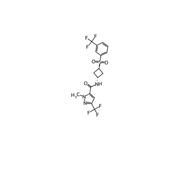 Cn1nc(C(F)(F)F)cc1C(=O)N[C@H]1C[C@H](S(=O)(=O)c2cccc(C(F)(F)F)c2)C1